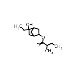 CCC(C)C(=O)OC1CC2CC1CC2(O)CC